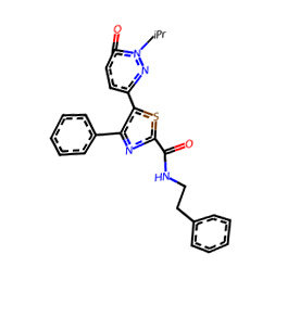 CC(C)n1nc(-c2sc(C(=O)NCCc3ccccc3)nc2-c2ccccc2)ccc1=O